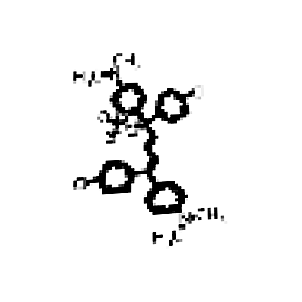 CN(C)c1ccc(C(=CC=CC(O[Cl+3]([O-])([O-])[O-])(c2ccc(Cl)cc2)c2ccc(N(C)C)cc2)c2ccc(Cl)cc2)cc1